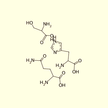 NC(=O)CCC(N)C(=O)O.NC(CO)C(=O)O.NC(Cc1c[nH]cn1)C(=O)O